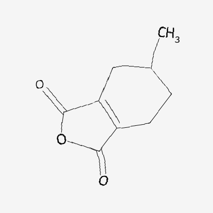 CC1CCC2=C(C1)C(=O)OC2=O